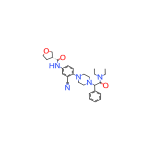 CCN(CC)C(=O)C(c1ccccc1)N1CCN(c2ccc(NC(=O)[C@@H]3CCOC3)cc2C#N)CC1